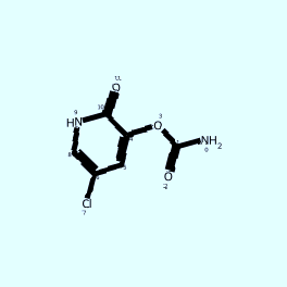 NC(=O)Oc1cc(Cl)c[nH]c1=O